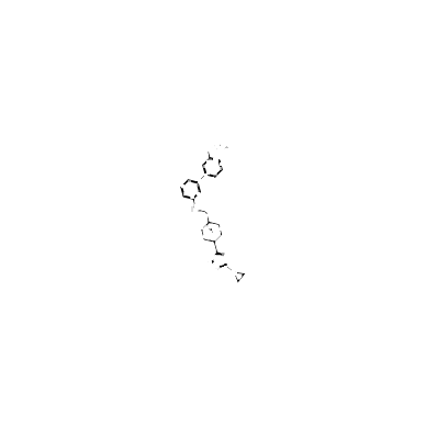 COc1cccc(-c2cccc(NCC34CCC(c5nc(C6CC6)no5)(CC3)CC4)c2)c1